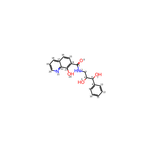 O=C(NCC(O)C(O)c1ccccc1)c1ccc2cccnc2c1O